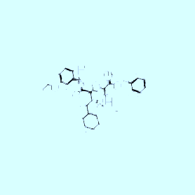 CCOc1cccc(NC(=O)C(OC(C)C(=O)OCc2ccccc2)[C@H](N)CC2CCCCC2)c1